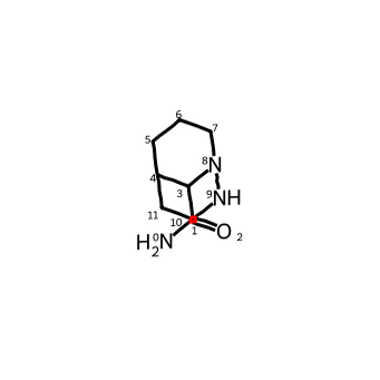 NC(=O)C1C2CCCN1NCC2